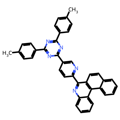 Cc1ccc(-c2nc(-c3ccc(C)cc3)nc(-c3ccc(-c4nc5ccccc5c5c4ccc4ccccc45)nc3)n2)cc1